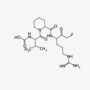 CC(C)C(NC(=O)O)C(=O)N1CCCCC1C(=O)NC(CCCNC(=N)N)C(=O)CF